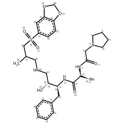 CC[C@H](C)[C@H](NC(=O)CN1CCCC1)C(=O)N[C@@H](Cc1ccccc1)[C@H](O)CNCC(C)CS(=O)(=O)c1ccc2c(c1)OCO2